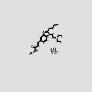 CCCCc1nc2cc(/C=C/C(=O)NO)ccc2n1CCN(CC)CC.Cl.Cl.O